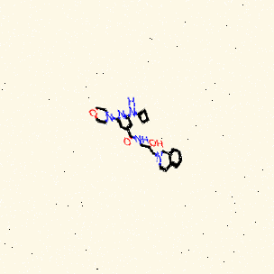 O=C(NC[C@H](O)CN1CCc2ccccc2C1)c1cc(NC2CCC2)nc(N2CCOCC2)c1